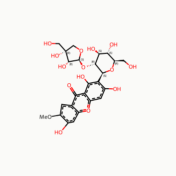 COc1cc2c(=O)c3c(O)c([C@@H]4O[C@H](CO)[C@@H](O)[C@H](O)[C@H]4O[C@@H]4OC[C@](O)(CO)[C@H]4O)c(O)cc3oc2cc1O